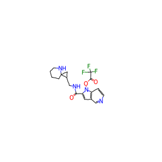 O=C(NCC1CC12CCCCN2)c1cc2cnccc2n1OC(=O)C(F)(F)F